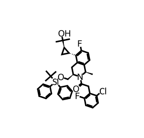 C[C@@H]1c2ccc(F)c([C@@H]3C[C@H]3C(C)(C)O)c2C[C@H](CO[Si](c2ccccc2)(c2ccccc2)C(C)(C)C)N1C(=O)Cc1c(F)cccc1Cl